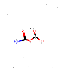 NC(=O)OB(O)O